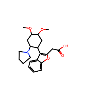 COC1CC(c2c(CC(=O)O)oc3ccccc23)C(N2CCCC2)CC1OC